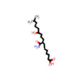 CC(C)CCCC(O)CCCC(CCCCCCC(=O)O)C(N)=O